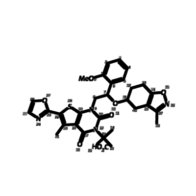 COc1ccccc1C(Cn1c(=O)n(C(C)(C)C(=O)O)c(=O)c2c(C)c(-c3ncco3)sc21)OC1CCc2onc(C)c2C1